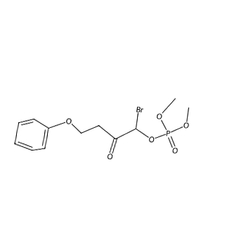 COP(=O)(OC)OC(Br)C(=O)CCOc1ccccc1